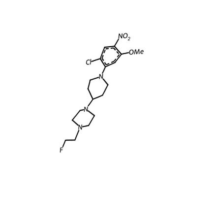 COc1cc(N2CCC(N3CCN(CCF)CC3)CC2)c(Cl)cc1[N+](=O)[O-]